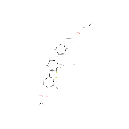 C=CC(=O)OCCCc1ccc(-c2ccc3c(sc4c(C(F)(F)F)c(OC(=O)C=C)ccc43)c2OC)cc1